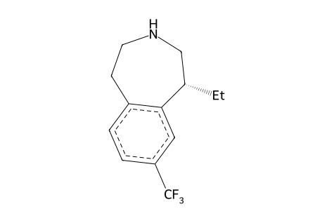 CC[C@H]1CNCCc2ccc(C(F)(F)F)cc21